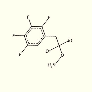 CCC(CC)(Cc1cc(F)c(F)c(F)c1F)O[SiH3]